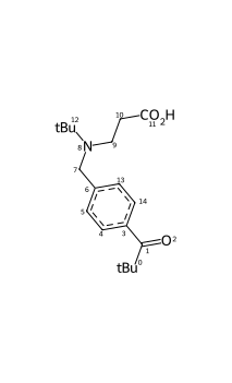 CC(C)(C)C(=O)c1ccc(CN(CCC(=O)O)C(C)(C)C)cc1